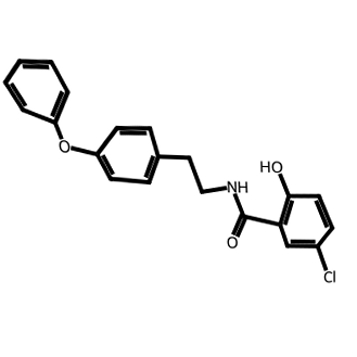 O=C(NCCc1ccc(Oc2ccccc2)cc1)c1cc(Cl)ccc1O